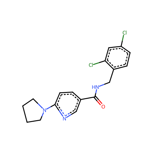 O=C(NCc1ccc(Cl)cc1Cl)c1ccc(N2CCCC2)nc1